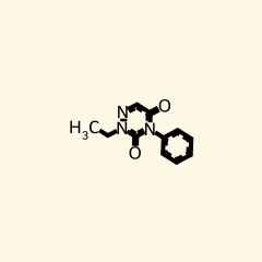 CCn1ncc(=O)n(-c2ccccc2)c1=O